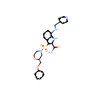 NC(=O)c1[nH]c2c(NCc3ccncc3)cccc2c1S(=O)(=O)N1CCO[C@H](COc2ccccc2)C1